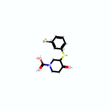 O=C1CCN(C(=O)O)CC1Sc1cccc(Br)c1